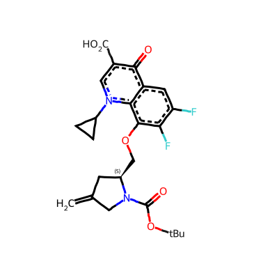 C=C1C[C@@H](COc2c(F)c(F)cc3c(=O)c(C(=O)O)cn(C4CC4)c23)N(C(=O)OC(C)(C)C)C1